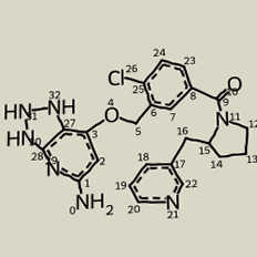 Nc1cc(OCc2cc(C(=O)N3CCCC3Cc3cccnc3)ccc2Cl)c2c(n1)NNN2